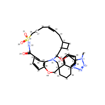 Cn1nnnc1COC1C2CCC2CC=CCCCS(=O)(=O)NC(=O)c2ccc3c(c2)N1CC1(CCCc2ccccc21)CO3